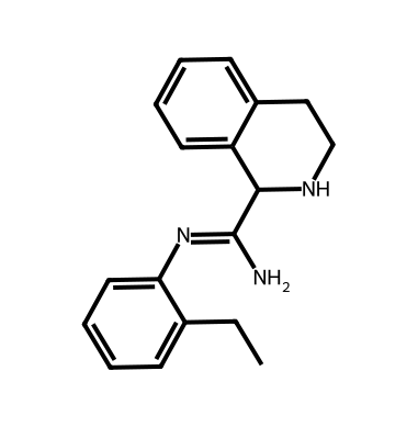 CCc1ccccc1N=C(N)C1NCCc2ccccc21